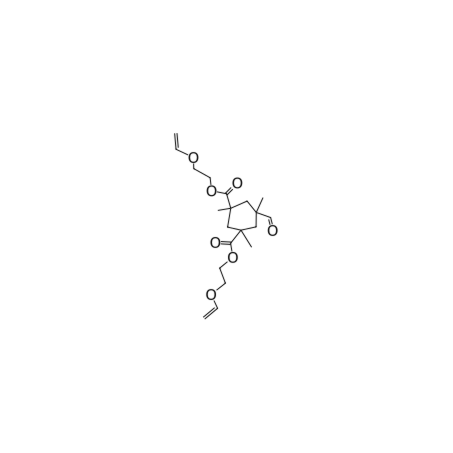 C=COCCOC(=O)C1(C)CC(C)(C=O)CC(C)(C(=O)OCCOC=C)C1